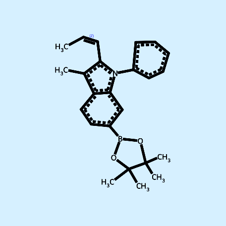 C/C=C\c1c(C)c2ccc(B3OC(C)(C)C(C)(C)O3)cc2n1-c1ccccc1